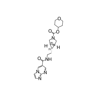 O=C(NCC[C@@H]1[C@H]2CN(C(=O)OC3CCOCC3)C[C@@H]12)c1cnc2nccn2c1